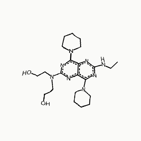 CCNc1nc(N2CCCCC2)c2nc(N(CCO)CCO)nc(N3CCCCC3)c2n1